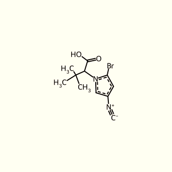 [C-]#[N+]c1cc(Br)n(C(C(=O)O)C(C)(C)C)c1